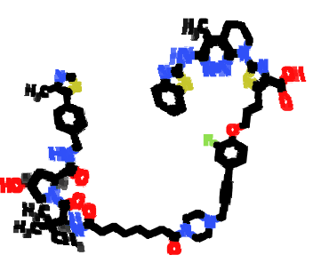 Cc1ncsc1-c1ccc(CNC(=O)[C@@H]2C[C@@H](O)CN2C(=O)[C@@H](NC(=O)CCCCCCC(=O)N2CCN(CC#Cc3ccc(OCCCc4sc(N5CCCc6c5nnc(Nc5nc7ccccc7s5)c6C)nc4C(=O)O)c(F)c3)CC2)C(C)(C)C)cc1